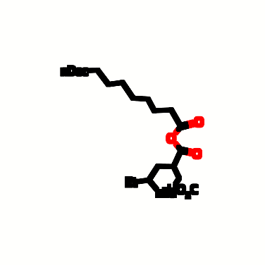 CCCCCCCCCCCCCCCCCC(=O)OC(=O)C(CC(=O)O)CC(CC)CCCC